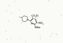 CCOC(=O)c1cc([N+](=O)[O-])c(NC)nc1N1CCC(C)CC1